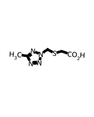 Cc1nnn(CSCC(=O)O)n1